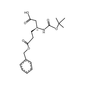 CC(C)(C)OC(=O)N[C@@H](CCC(=O)OCc1ccccc1)CC(=O)O